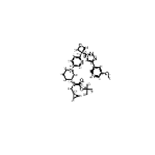 COc1cncc(-c2cn(C3(c4ccc(N5CCC[C@@H](N(CC6CC6)C(=O)OC(C)(C)C)C5)cn4)COC3)nn2)c1